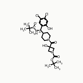 CC(C)(C)OC(=O)N1CC(O)(C(=O)N2CCC([C@@H](N[S+]([O-])C(C)(C)C)c3cc(Cl)c(Cl)cc3O)CC2)C1